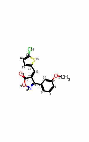 COc1cccc(C2=NOC(=O)C2=Cc2ccc(Cl)s2)c1